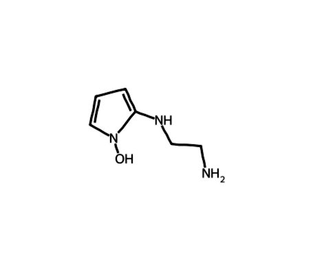 NCCNc1cccn1O